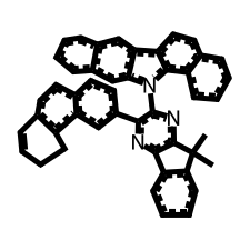 CC1(C)c2ccccc2-c2nc(-c3ccc4ccc5c(c4c3)CCC=C5)c(-n3c4cc5ccccc5cc4c4ccc5ccccc5c43)nc21